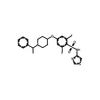 CC(c1ccccc1)N1CCC(Oc2cc(F)c(S(=O)(=O)Nc3cscn3)c(F)c2)CC1